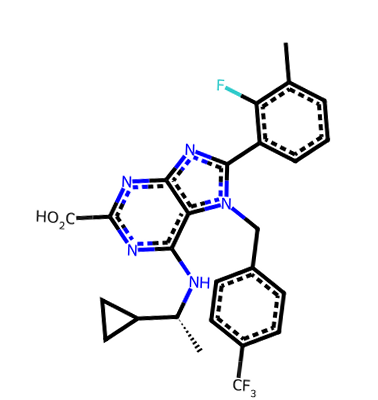 Cc1cccc(-c2nc3nc(C(=O)O)nc(N[C@H](C)C4CC4)c3n2Cc2ccc(C(F)(F)F)cc2)c1F